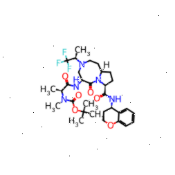 C[C@@H](C(=O)N[C@H]1CN([C@H](C)C(F)(F)F)CC[C@H]2CC[C@@H](C(=O)N[C@@H]3CCOc4ccccc43)N2C1=O)N(C)C(=O)OC(C)(C)C